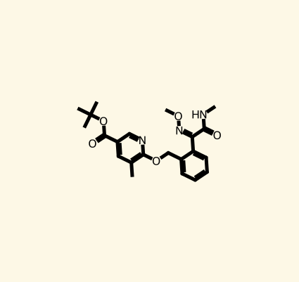 CNC(=O)C(=NOC)c1ccccc1COc1ncc(C(=O)OC(C)(C)C)cc1C